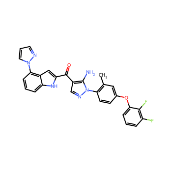 Cc1cc(Oc2cccc(F)c2F)ccc1-n1ncc(C(=O)c2cc3c(-n4cccn4)cccc3[nH]2)c1N